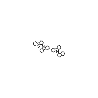 c1ccc2c(-n3c4ccccc4c4cc(-c5ccc6c(c5)c5ccccc5n6-c5cccc6c5sc5ccccc56)ccc43)cccc2c1